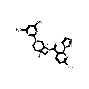 Cc1cc(C)nc(N2CC[C@@H]3CN(C(=O)c4ccc(C)nc4-n4ccnn4)[C@@H]3C2)n1